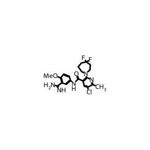 COc1ccc(NC(=O)c2cc(Cl)c(C)nc2N2CCCC(F)(F)CC2)cc1C(=N)N